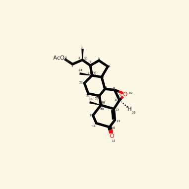 CC(=O)OC[C@@H](C)C1CCC2C3C4O[C@H]4C4=CC(=O)CC[C@]4(C)C3CC[C@@]21C